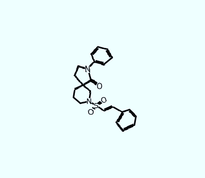 O=C1N(c2ccccc2)CCC12CCCN(S(=O)(=O)C=Cc1ccccc1)C2